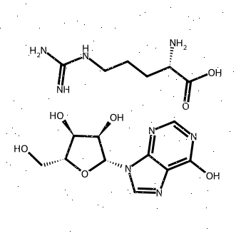 N=C(N)NCCC[C@H](N)C(=O)O.OC[C@H]1O[C@@H](n2cnc3c(O)ncnc32)[C@H](O)[C@@H]1O